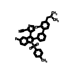 Cc1ccc(S(=O)(=O)n2c(-c3cccc(-c4ccc(CN(C)C)cc4Cl)c3)c(-c3ccsc3C#N)c3cc(F)ccc32)cc1